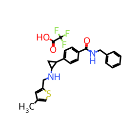 Cc1csc(CNC2CC2c2ccc(C(=O)NCc3ccccc3)cc2)c1.O=C(O)C(F)(F)F